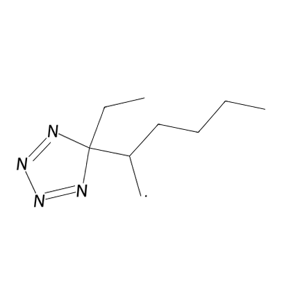 [CH2]C(CCCC)C1(CC)N=NN=N1